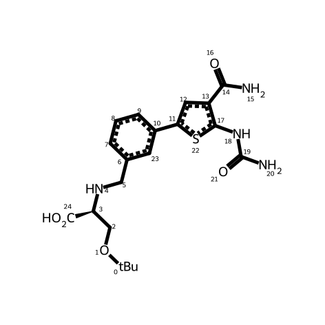 CC(C)(C)OC[C@H](NCc1cccc(-c2cc(C(N)=O)c(NC(N)=O)s2)c1)C(=O)O